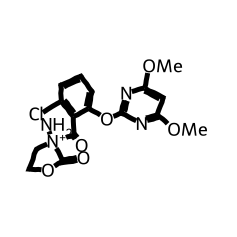 COc1cc(OC)nc(Oc2cccc(Cl)c2C(=O)[N+]2(N)CCOC2=O)n1